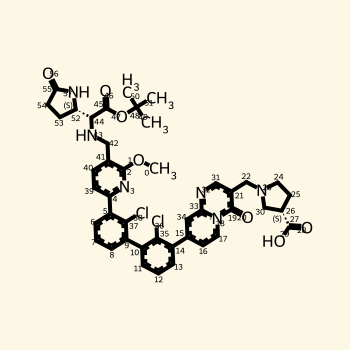 COc1nc(-c2cccc(-c3cccc(-c4ccn5c(=O)c(CN6CC[C@H](C(=O)O)C6)cnc5c4)c3Cl)c2Cl)ccc1CNC(C(=O)OC(C)(C)C)[C@@H]1CCC(=O)N1